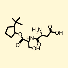 CC(C)(C)C1CCCC1OC(=O)[C@H](CO)NC(=O)[C@@H](N)CC(=O)O